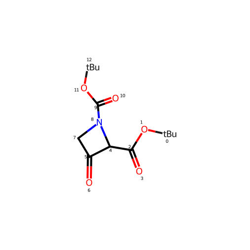 CC(C)(C)OC(=O)C1C(=O)CN1C(=O)OC(C)(C)C